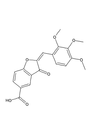 COc1ccc(C=C2Oc3ccc(C(=O)O)cc3C2=O)c(OC)c1OC